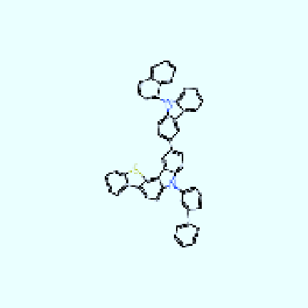 c1ccc(-c2cccc(-n3c4ccc(-c5ccc6c(c5)c5ccccc5n6-c5cccc6ccccc56)cc4c4c5sc6ccccc6c5ccc43)c2)cc1